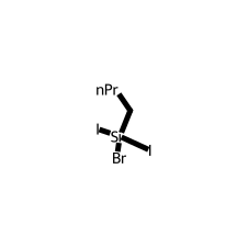 CCCC[Si](Br)(I)I